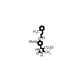 CCOC(=O)C1=C(C)NC(=O)NC1c1ccc(OC(=O)/C=C/c2ccccc2C)c(OC)c1